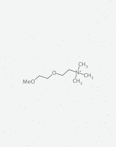 COCCOCC[N+](C)(C)C